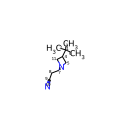 CC(C)(C)C1CN(CCC#N)C1